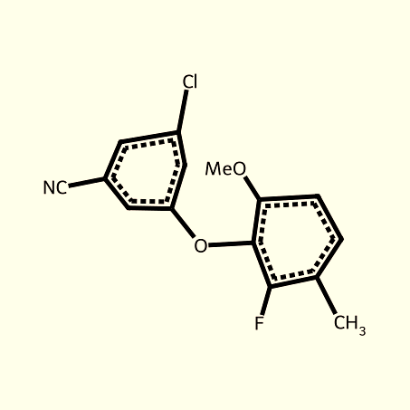 COc1ccc(C)c(F)c1Oc1cc(Cl)cc(C#N)c1